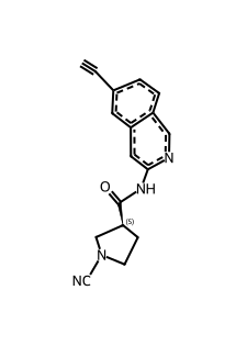 C#Cc1ccc2cnc(NC(=O)[C@H]3CCN(C#N)C3)cc2c1